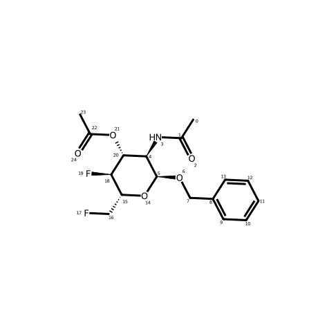 CC(=O)N[C@H]1[C@@H](OCc2ccccc2)O[C@H](CF)[C@@H](F)[C@@H]1OC(C)=O